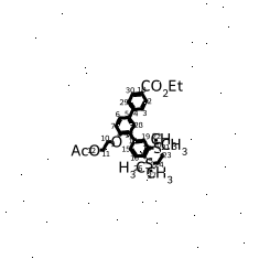 CCOC(=O)c1ccc(-c2ccc(OCCOC(C)=O)c(-c3ccc4c(c3)S(C)(C)CCS4(C)C)c2)cc1